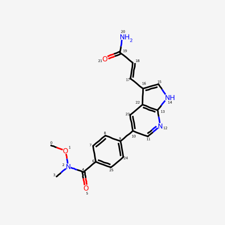 CON(C)C(=O)c1ccc(-c2cnc3[nH]cc(C=CC(N)=O)c3c2)cc1